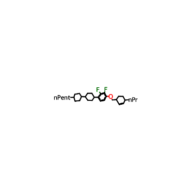 CCCCCC1CCC(C2CCC(c3ccc(OCC4C=CC(CCC)CC4)c(F)c3F)CC2)CC1